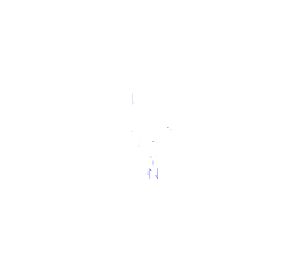 CC1(C#N)CCC(I)CC1